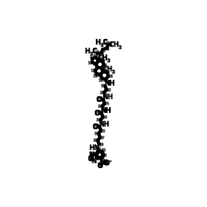 CC(C)CCCC(C)[C@H]1CCC2C3CC=C4C[C@@H](NCCCNC(=O)CCNC(=O)CCNC(=O)CCCCCNc5ccc([N+](=O)[O-])c6nonc56)CC[C@]4(C)C3CC[C@@]21C